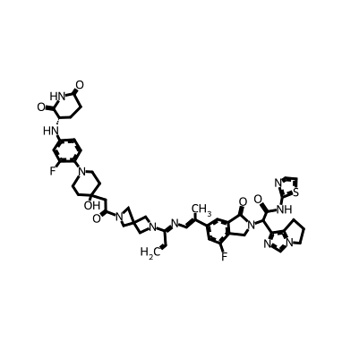 C=C/C(=N\C=C(/C)c1cc(F)c2c(c1)C(=O)N(C(C(=O)Nc1nccs1)c1ncn3c1CCC3)C2)N1CC2(CN(C(=O)CC3(O)CCN(c4ccc(N[C@H]5CCC(=O)NC5=O)cc4F)CC3)C2)C1